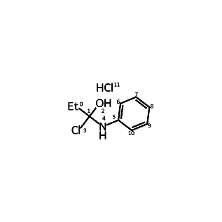 CCC(O)(Cl)Nc1ccccc1.Cl